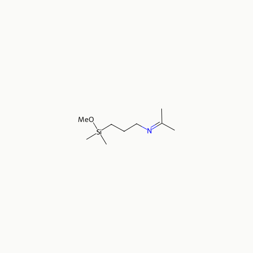 CO[Si](C)(C)CCCN=C(C)C